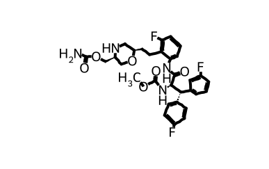 COC(=O)N[C@H](C(=O)Nc1cccc(F)c1CC[C@@H]1CN[C@H](COC(N)=O)CO1)[C@@H](c1ccc(F)cc1)c1cccc(F)c1